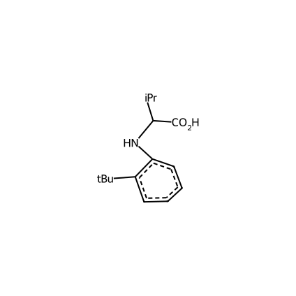 CC(C)C(Nc1ccccc1C(C)(C)C)C(=O)O